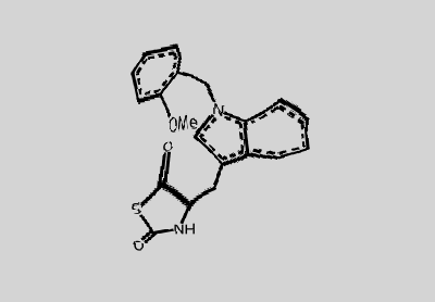 COc1ccccc1Cn1cc(CC2NC(=O)SC2=O)c2ccccc21